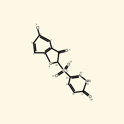 O=C1c2cc(Cl)ccc2OC1S(=O)(=O)c1ccc(=O)[nH]n1